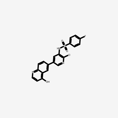 O=S(=O)(Nc1cc(-c2ccc3nccc(O)c3c2)cnc1Cl)c1ccc(F)cc1